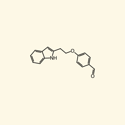 O=Cc1ccc(OCCc2cc3ccccc3[nH]2)cc1